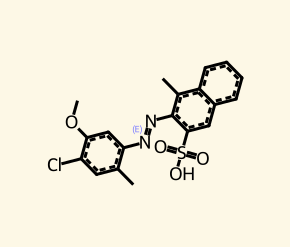 COc1cc(/N=N/c2c(S(=O)(=O)O)cc3ccccc3c2C)c(C)cc1Cl